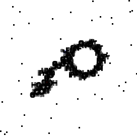 C/C=C/CC(C)C(OC(=O)OCOC(=O)CCC(=O)NC(C(=O)OCC(=O)[C@@]1(O)CC[C@@H]2C3CCC4=CC(=O)C=C[C@]4(C)C3[C@@H](O)C[C@@]21C)C(C)C)[C@@H]1C(=O)N[C@H](CC)C(=O)N(C)CC(=O)N(C)[C@@H](CC(C)C)C(=O)NC(C(C)C)C(=O)N(C)[C@H](CC(C)C)C(=O)NC(C)C(=O)NC(C)C(=O)N(C)C(CC(C)C)C(=O)N(C)[C@H](CC(C)C)C(=O)N(C)C(C(C)C)C(=O)N1C